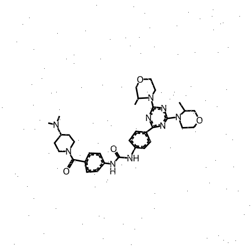 CC1COCCN1c1nc(-c2ccc(NC(=O)Nc3ccc(C(=O)N4CCC(N(C)C)CC4)cc3)cc2)nc(N2CCOCC2C)n1